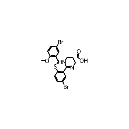 COc1ccc(Br)cc1CSc1ccc(Br)cc1C1=NCCCN1.O=CO